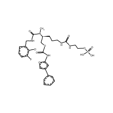 CN(C(=O)NCc1cccc(F)c1Cl)[C@@H](CCCNC(=O)NCCOP(=O)(O)O)COC(=O)Nc1cc(-c2ccccc2)co1